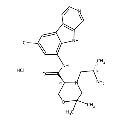 C[C@H](N)CN1CC(C)(C)OC[C@H]1C(=O)Nc1cc(Cl)cc2c1[nH]c1cnccc12.Cl